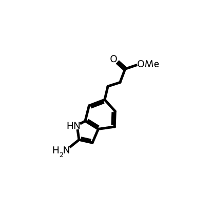 COC(=O)CCc1ccc2cc(N)[nH]c2c1